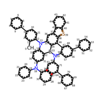 Cc1cc(-c2ccccc2)ccc1N1c2ccc(N(c3ccccc3)c3ccccc3)cc2B2c3c1cc1c(sc4ccccc41)c3-c1cc(-c3ccccc3)ccc1N2c1cccc(-c2ccccc2)c1